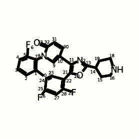 Cc1cccc(F)c1-n1cc(-c2nc(C3CCNCC3)oc2-c2ccc(F)cc2F)ccc1=O